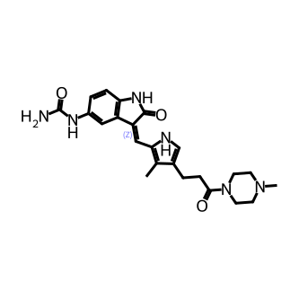 Cc1c(CCC(=O)N2CCN(C)CC2)c[nH]c1/C=C1\C(=O)Nc2ccc(NC(N)=O)cc21